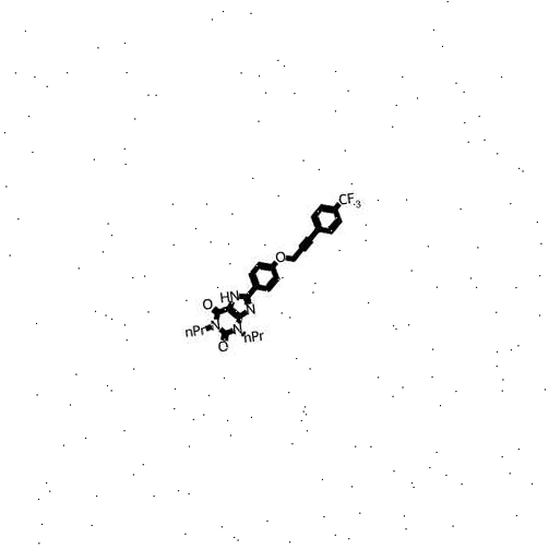 CCCn1c(=O)c2[nH]c(-c3ccc(OCC#Cc4ccc(C(F)(F)F)cc4)cc3)nc2n(CCC)c1=O